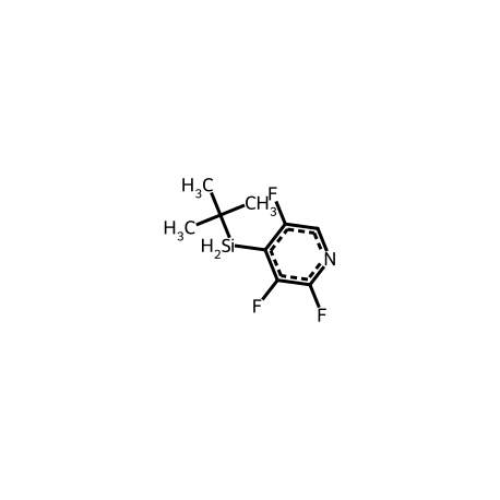 CC(C)(C)[SiH2]c1c(F)cnc(F)c1F